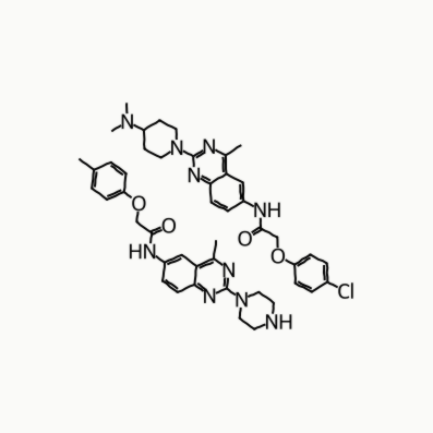 Cc1ccc(OCC(=O)Nc2ccc3nc(N4CCNCC4)nc(C)c3c2)cc1.Cc1nc(N2CCC(N(C)C)CC2)nc2ccc(NC(=O)COc3ccc(Cl)cc3)cc12